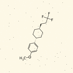 COc1ccc([C@H]2CC[C@H](CCC(F)(F)F)CC2)cc1